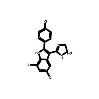 Cl.Clc1ccc(-c2[nH]c3c(Cl)cc(Cl)cc3c2C2=NCCN2)cc1